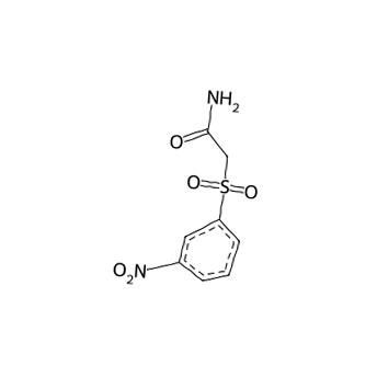 NC(=O)CS(=O)(=O)c1cccc([N+](=O)[O-])c1